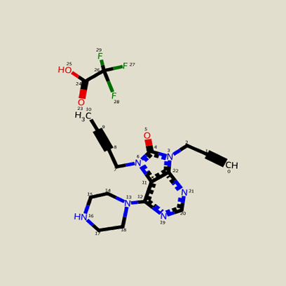 C#CCn1c(=O)n(CC#CC)c2c(N3CCNCC3)ncnc21.O=C(O)C(F)(F)F